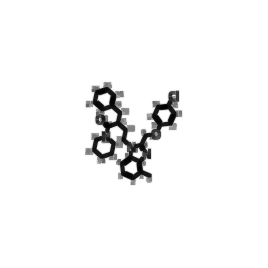 Cc1cccc2c1nc(COc1ccc(Cl)cc1)n2CCC(Cc1ccccc1)C(=O)N1CCCCC1